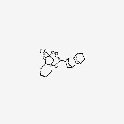 O=C(OC12CCCCC1OC(O)(C(F)(F)F)C2)C1CC2CC1C1C3CCC(C3)C21